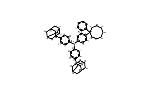 c1ccc(C2(c3ccc(N(c4ccc(C56CC7CC(CC(C7)C5)C6)cc4)c4ccc(C56CC7CC(CC(C7)C5)C6)cc4)cc3)CCCCCCC2)cc1